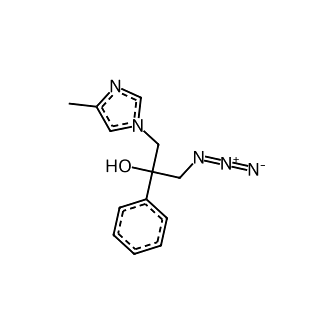 Cc1cn(CC(O)(CN=[N+]=[N-])c2ccccc2)cn1